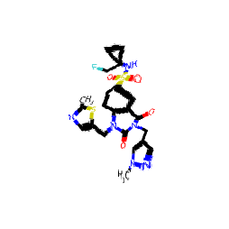 Cc1ncc(Cn2c(=O)n(Cc3cnn(C)c3)c(=O)c3cc(S(=O)(=O)NC4(CF)CC4)ccc32)s1